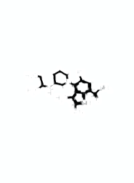 CCC(C)N[C@H]1CCCN(c2c(F)cc(C(N)=O)c3[nH]c(C)c(C)c23)C1